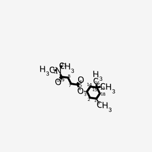 C[C@H]1C[C@H](OC(=O)CCC(=O)N(C)C)CC(C)(C)C1